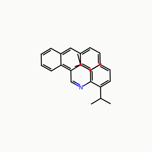 CC(C)c1cccc(C(C)C)c1/N=C\c1c2ccccc2cc2ccccc12